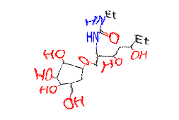 CCNC(=O)NC(COC1CC(CO)C(O)C(O)C1O)C(O)CC(O)CC